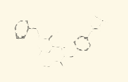 CCOC(=O)[C@H](Cc1ccc(B2OC(C)(C)C(C)(C)O2)cc1)N[C@@H](CC(C)C)C(=O)OCc1ccccc1